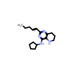 CCC/C=C/c1nc2c(c(NC3CCCC3)n1)NCCC2